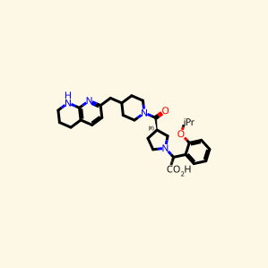 CC(C)Oc1ccccc1C(C(=O)O)N1CC[C@@H](C(=O)N2CCC(Cc3ccc4c(n3)NCCC4)CC2)C1